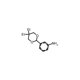 CCC1(CC)COC(c2cccc(N)c2)OC1